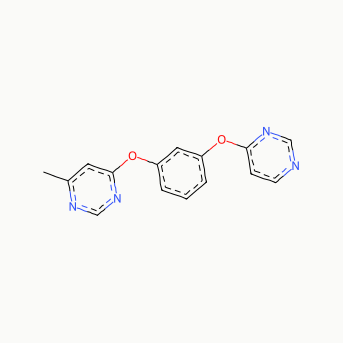 Cc1cc(Oc2cccc(Oc3ccncn3)c2)ncn1